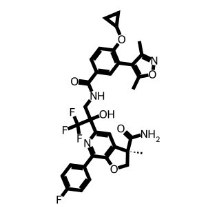 Cc1noc(C)c1-c1cc(C(=O)NCC(O)(c2cc3c(c(-c4ccc(F)cc4)n2)OC[C@]3(C)C(N)=O)C(F)(F)F)ccc1OC1CC1